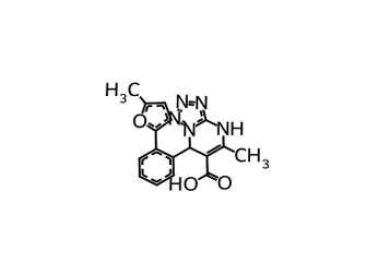 CC1=C(C(=O)O)C(c2ccccc2-c2ccc(C)o2)n2nnnc2N1